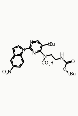 CC(C)(C)OC(=O)NCCN(C(=O)O)c1nc(-n2ccc3cc([N+](=O)[O-])ccc32)ncc1C(C)(C)C